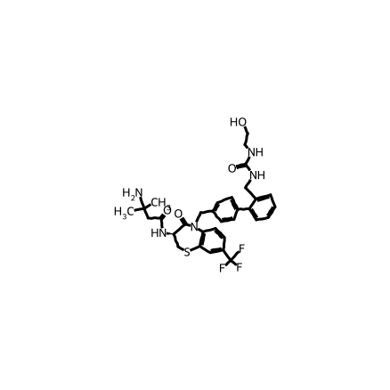 CC(C)(N)CC(=O)N[C@@H]1CSc2cc(C(F)(F)F)ccc2N(Cc2ccc(-c3ccccc3CNC(=O)NCCO)cc2)C1=O